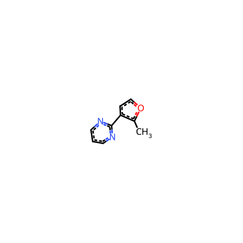 Cc1occc1-c1ncccn1